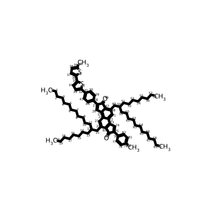 CCCCCCCCCCCCC(CCCCCCCC)Cc1cc2c3cc(-c4ccc(-c5ccc(-c6ccc(C)s6)s5)cc4)c(=O)c3c(CC(CCCCCCCC)CCCCCCCCCCCC)cc2c2cc(-c3ccc(C)cc3)c(=O)c12